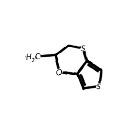 [CH2]C1CSc2cscc2O1